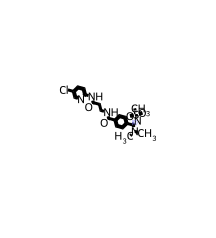 CN(C)/C(=N/S(C)(=O)=O)c1ccc(C(=O)NCCC(=O)Nc2ccc(Cl)cn2)cc1